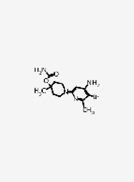 Cc1nc(N2CCC(C)(OC(N)=O)CC2)cc(N)c1Br